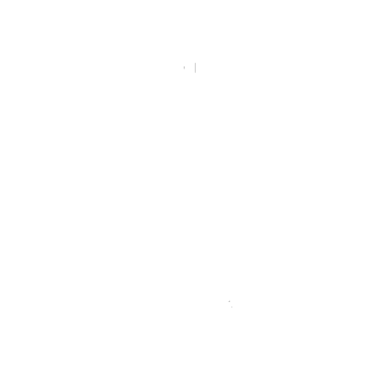 CC(=O)c1ccc(O[C@H]2CC[C@@H](C)CC2)cc1